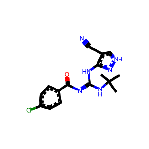 CC(C)(C)N/C(=N/C(=O)c1ccc(Cl)cc1)Nc1n[nH]cc1C#N